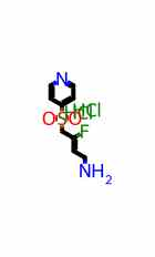 Cl.Cl.NC/C=C(\F)CS(=O)(=O)c1ccncc1